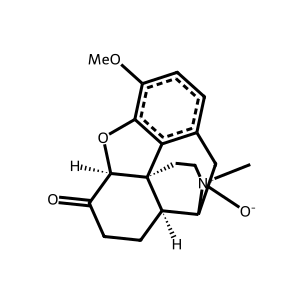 COc1ccc2c3c1O[C@@H]1C(=O)CC[C@@H]4C(C2)[N+](C)([O-])CC[C@@]314